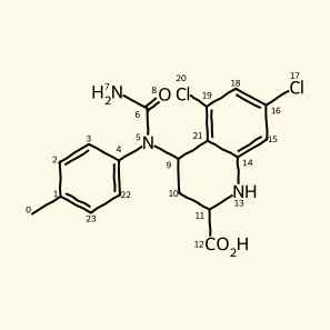 Cc1ccc(N(C(N)=O)C2CC(C(=O)O)Nc3cc(Cl)cc(Cl)c32)cc1